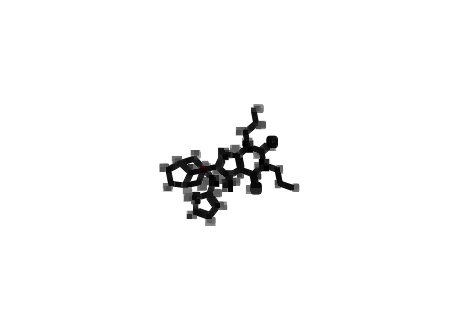 CCCn1c(=O)c2[nH]c(C3CC4CCC(C3)C4CN(C)c3cccs3)nc2n(CCC)c1=O